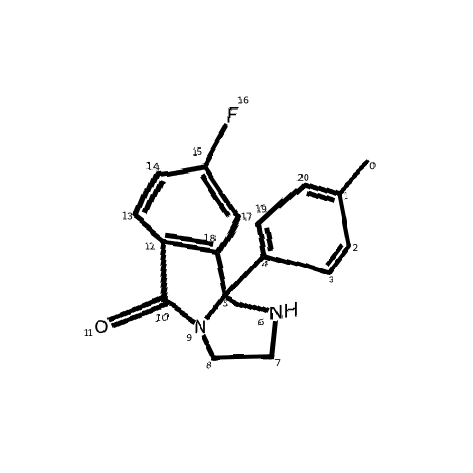 Cc1ccc(C23NCCN2C(=O)c2ccc(F)cc23)cc1